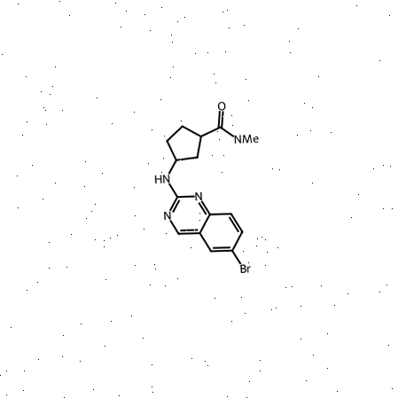 CNC(=O)C1CCC(Nc2ncc3cc(Br)ccc3n2)C1